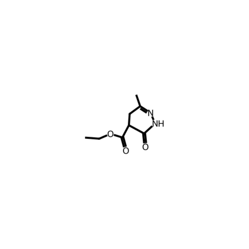 CCOC(=O)C1CC(C)=NNC1=O